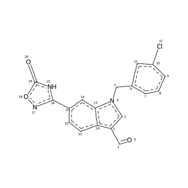 O=Cc1cn(Cc2cccc(Cl)c2)c2cc(-c3noc(=O)[nH]3)ccc12